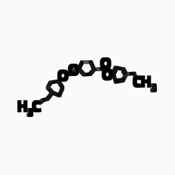 CCCC1CCC(OCOC2CCC(C(=O)Oc3ccc(CC)cc3)CC2)CC1